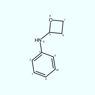 c1ccc(NC2CCO2)cc1